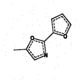 Cc1cnc(-c2ccco2)o1